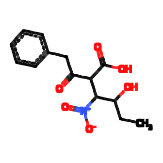 CCC(O)C(C(C(=O)O)C(=O)Cc1ccccc1)[N+](=O)[O-]